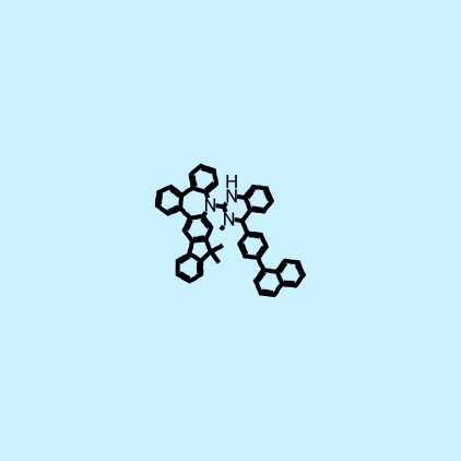 CN1C(c2ccc(-c3cccc4ccccc34)cc2)c2ccccc2NC1N1c2ccccc2-c2ccccc2-c2cc3c(cc21)C(C)(C)c1ccccc1-3